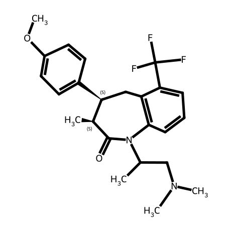 COc1ccc([C@H]2Cc3c(cccc3C(F)(F)F)N(C(C)CN(C)C)C(=O)[C@H]2C)cc1